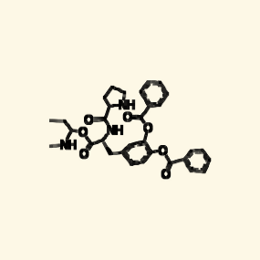 CCC(NC)OC(=O)[C@H](Cc1ccc(OC(=O)c2ccccc2)c(OC(=O)c2ccccc2)c1)NC(=O)C1CCCN1